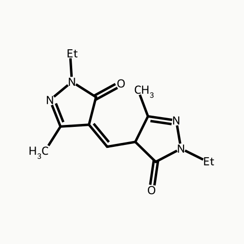 CCN1N=C(C)/C(=C/C2C(=O)N(CC)N=C2C)C1=O